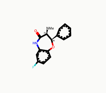 CN[C@@H]1C(=O)Nc2cc(F)ccc2O[C@@H]1c1ccccc1